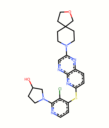 OC1CCN(c2nccc(Sc3ccc4nc(N5CCC6(CCOC6)CC5)cnc4n3)c2Cl)C1